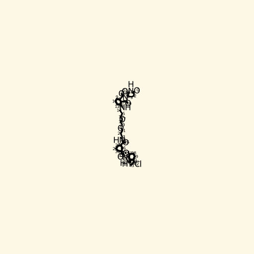 O=C1CCC(N2C(=O)c3cccc(NCCCOCCOCCCNC(=O)c4cccc(S(=O)(=O)Nc5cccc6c(Cl)c[nH]c56)c4)c3C2=O)C(=O)N1